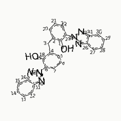 Oc1c(Cc2cccc(-n3nc4ccccc4n3)c2O)cccc1-n1nc2ccccc2n1